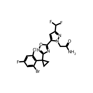 NC(=O)Cn1nc(C(F)F)cc1-c1nc(C2(c3c(Cl)cc(F)cc3Br)CC2)no1